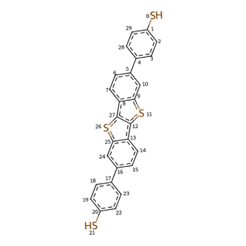 Sc1ccc(-c2ccc3c(c2)sc2c4ccc(-c5ccc(S)cc5)cc4sc32)cc1